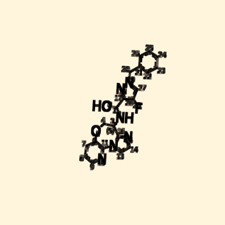 OC(N[C@@H]1COc2cccnc2-n2ccnc21)c1nn(Cc2ccccc2)cc1F